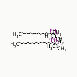 CCCCCCCCCCCCCCCC(P)C(C)(C)CCC.CCCCCCCCCCCCCCCCCC(P)C(C)(C)CCC